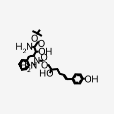 CC(C)(C)OC(=O)C(N)C(O)C(Cc1ccccc1)N(N)C(=O)OCC(O)CCC=Cc1ccc(O)cc1